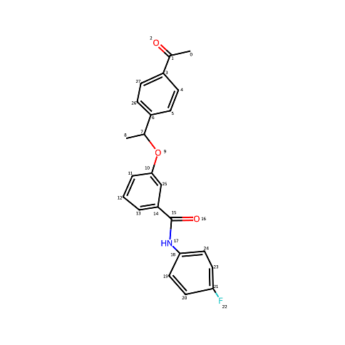 CC(=O)c1ccc(C(C)Oc2cccc(C(=O)Nc3ccc(F)cc3)c2)cc1